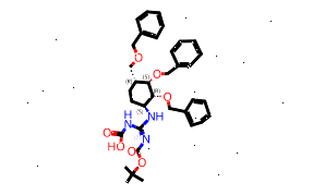 CC(C)(C)OC(=O)/N=C(\NC(=O)O)N[C@H]1CC[C@H](COCc2ccccc2)[C@H](OCc2ccccc2)[C@@H]1OCc1ccccc1